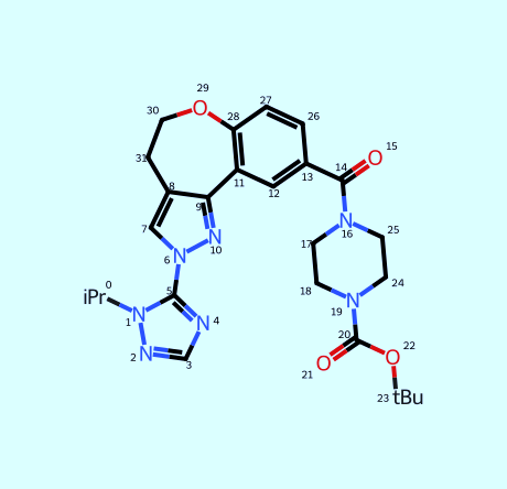 CC(C)n1ncnc1-n1cc2c(n1)-c1cc(C(=O)N3CCN(C(=O)OC(C)(C)C)CC3)ccc1OCC2